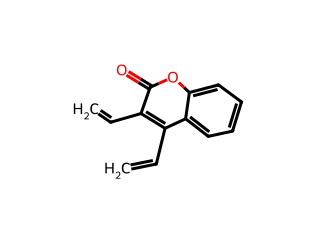 C=Cc1c(C=C)c2ccccc2oc1=O